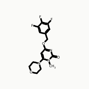 Cn1c(N2CCOCC2)cc(OCc2cc(F)c(F)c(F)c2)nc1=O